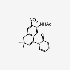 CC(=O)Nc1cc2c(cc1[N+](=O)[O-])CC(C)(C)C=C2n1ccccc1=O